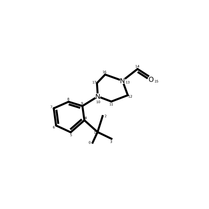 CC(C)(C)c1ccccc1N1CCN(C=O)CC1